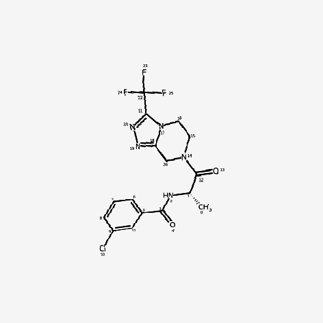 C[C@H](NC(=O)c1cccc(Cl)c1)C(=O)N1CCn2c(nnc2C(F)(F)F)C1